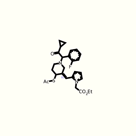 CCOC(=O)Cn1cccc1/C=C1\CN(C(C(=O)C2CC2)c2ccccc2F)CCC1SC(C)=O